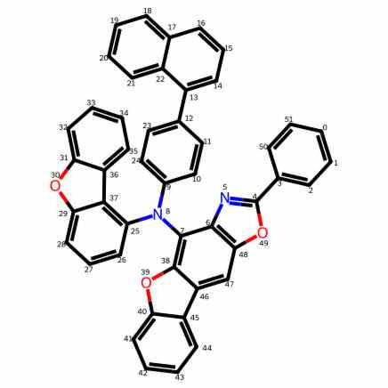 c1ccc(-c2nc3c(N(c4ccc(-c5cccc6ccccc56)cc4)c4cccc5oc6ccccc6c45)c4oc5ccccc5c4cc3o2)cc1